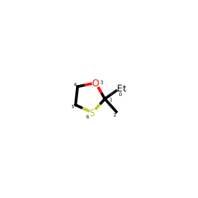 CCC1(C)OCCS1